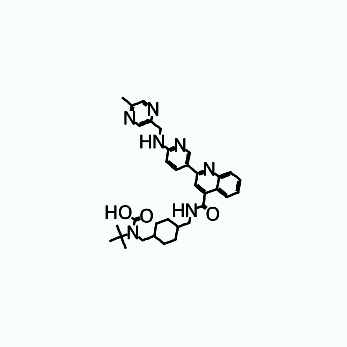 Cc1cnc(CNc2ccc(-c3cc(C(=O)NCC4CCC(CN(C(=O)O)C(C)(C)C)CC4)c4ccccc4n3)cn2)cn1